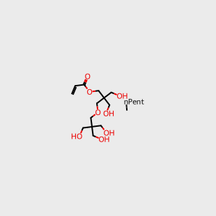 C=CC(=O)OCC(CO)(CO)COCC(CO)(CO)CO.CCCCCC